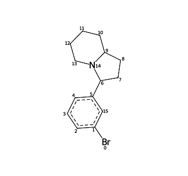 Brc1cccc(C2CCC3CCCCN32)c1